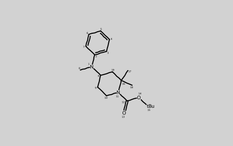 CN(c1ccccc1)C1CCN(C(=O)OC(C)(C)C)C(C)(C)C1